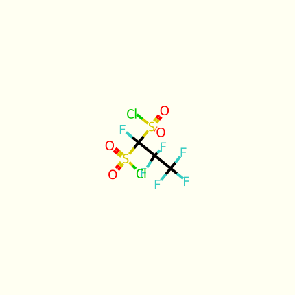 O=S(=O)(Cl)C(F)(C(F)(F)C(F)(F)F)S(=O)(=O)Cl